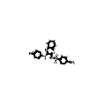 Bc1ccc(S(=O)(=O)Nc2nc3ccccc3nc2Nc2ccc(F)cc2)cc1